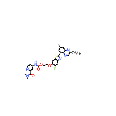 COc1cnc2c(-c3nc4cc(F)c(OCCOC(=O)Nc5ccnc(C(=O)N(C)C)c5)cc4s3)cc(C)cc2n1